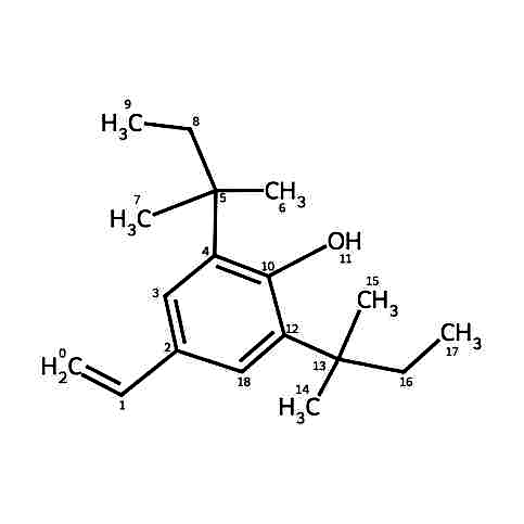 C=Cc1cc(C(C)(C)CC)c(O)c(C(C)(C)CC)c1